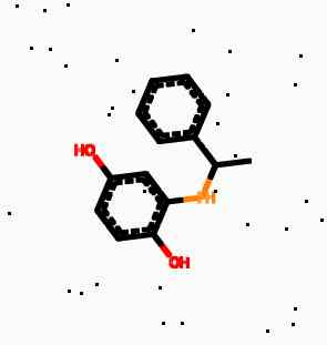 CC(Pc1cc(O)ccc1O)c1ccccc1